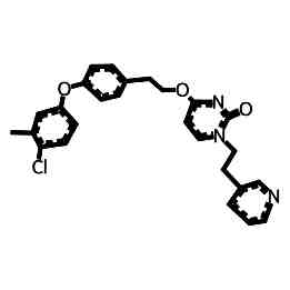 Cc1cc(Oc2ccc(CCOc3ccn(CCc4cccnc4)c(=O)n3)cc2)ccc1Cl